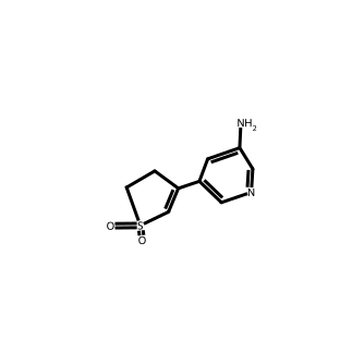 Nc1cncc(C2=CS(=O)(=O)CC2)c1